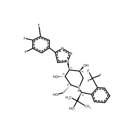 CC(C)(O)[C@H](c1ccccc1C(F)(F)F)[SH]1C[C@H](O)[C@H](n2cc(-c3cc(F)c(F)c(F)c3)nn2)[C@@H](O)[C@H]1CO